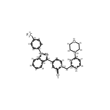 O=c1cc(-c2nn(-c3ccc(C(F)(F)F)cc3)c3ccccc23)ccn1Cc1nccc(N2CCOCC2)n1